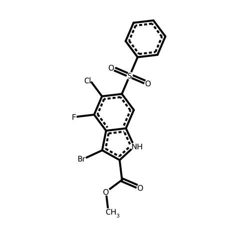 COC(=O)c1[nH]c2cc(S(=O)(=O)c3ccccc3)c(Cl)c(F)c2c1Br